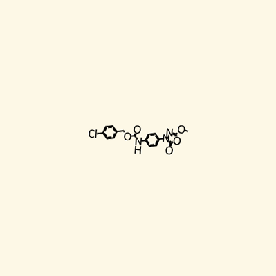 COc1nn(-c2ccc(NC(=O)OCc3ccc(Cl)cc3)cc2)c(=O)o1